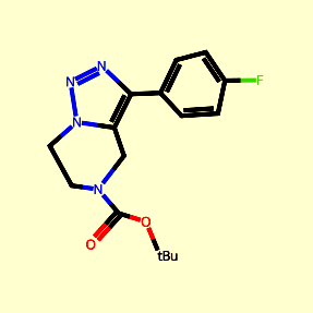 CC(C)(C)OC(=O)N1CCn2nnc(-c3ccc(F)cc3)c2C1